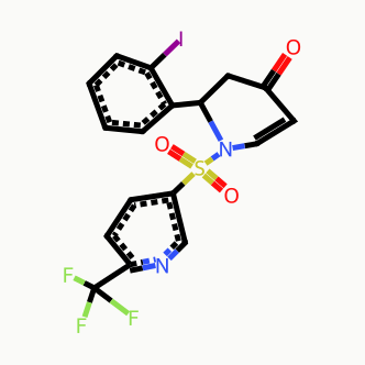 O=C1C=CN(S(=O)(=O)c2ccc(C(F)(F)F)nc2)C(c2ccccc2I)C1